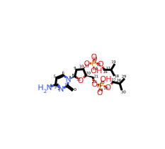 C=C1N=C(N)C=CN1[C@H]1C[C@H](OP(=O)(O)OCC(C)C)[C@@H](COP(=O)(O)OCC(C)C)O1